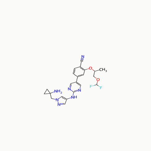 CC(COC(F)F)Oc1cc(-c2cnc(Nc3cnn(CC4(N)CC4)c3)nc2)ccc1C#N